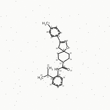 Cc1ccc(C2=NOC3(CCN(C(=O)Nc4ccccc4C(C)C)CC3)C2)cc1